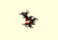 CC[C@H](C)[C@H](NC(=O)[C@H](Cc1ccc(O)cc1)NC(=O)[C@@H](N)CS)C(=O)N[C@@H](CCC(N)=O)C(=O)N[C@@H](CC(N)=O)C(=O)N[C@@H](CS)C(=O)N1CCC[C@H]1C(=O)N[C@@H](CCCNC(=N)N)C(=O)NCC(N)=O